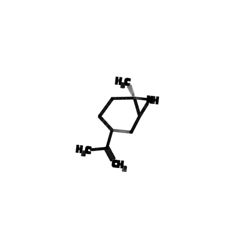 C=C(C)C1CC[C@@]2(C)NC2C1